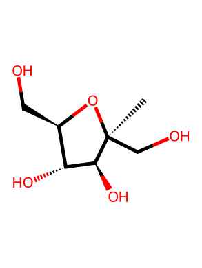 C[C@@]1(CO)O[C@H](CO)[C@@H](O)[C@@H]1O